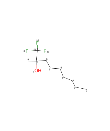 CCCCCCCC(C)(O)C(F)(F)F